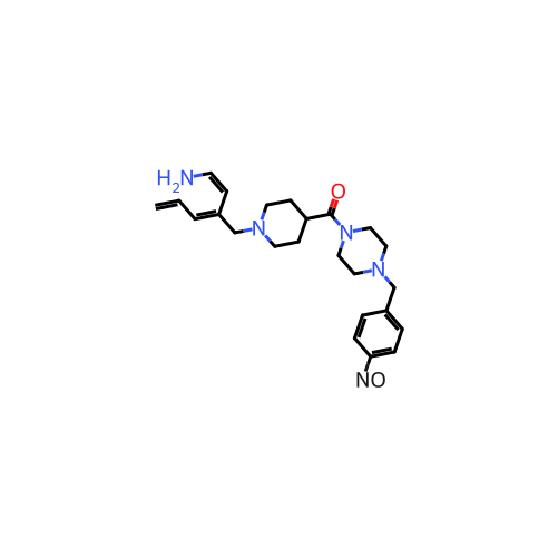 C=C/C=C(\C=C/N)CN1CCC(C(=O)N2CCN(Cc3ccc(N=O)cc3)CC2)CC1